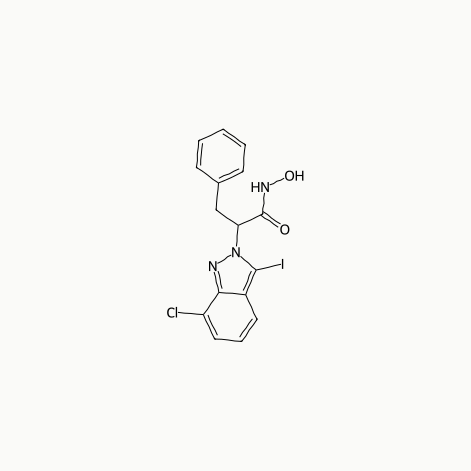 O=C(NO)C(Cc1ccccc1)n1nc2c(Cl)cccc2c1I